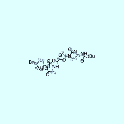 COC(=O)[C@H](C)NP(=O)(OC[C@H]1OC[C@@H](n2ccc(NC(=O)C(C)(C)C)nc2=O)O1)Oc1ccc(Br)cc1